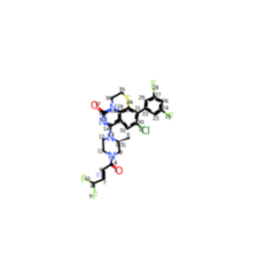 C[C@H]1CN(C(=O)/C=C/C(F)F)CCN1c1nc(=O)n2c3c(c(-c4cc(F)cc(F)c4)c(Cl)cc13)SCC2